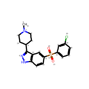 CN1CCC(c2n[nH]c3ccc(S(=O)(=O)c4cccc(Cl)c4)cc23)CC1